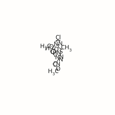 COc1ccc(Cn2c(NSC(C)C(OC)c3ncc(Cl)cn3)nnc2-c2cccc(OC)n2)cc1